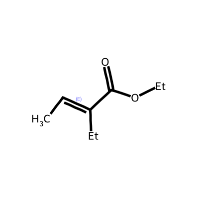 C/C=C(\CC)C(=O)OCC